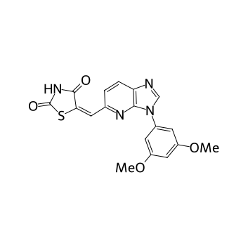 COc1cc(OC)cc(-n2cnc3ccc(C=C4SC(=O)NC4=O)nc32)c1